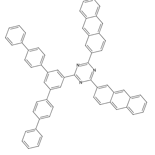 c1ccc(-c2ccc(-c3cc(-c4ccc(-c5ccccc5)cc4)cc(-c4nc(-c5ccc6cc7ccccc7cc6c5)nc(-c5ccc6cc7ccccc7cc6c5)n4)c3)cc2)cc1